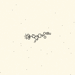 CC(C)(C)OC(=O)N1CCN(c2ccc(B3OC(C)(C)C(C)(C)O3)cc2C(F)F)CC1